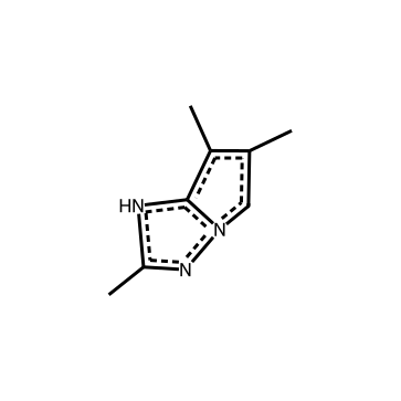 Cc1nn2cc(C)c(C)c2[nH]1